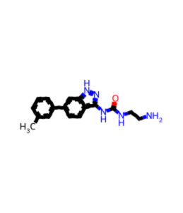 Cc1cccc(-c2ccc3c(NC(=O)NCCN)n[nH]c3c2)c1